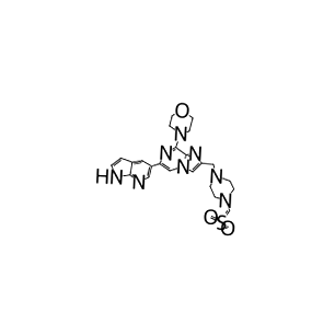 O=S(=O)=CN1CCN(Cc2cn3cc(-c4cnc5[nH]ccc5c4)nc(N4CCOCC4)c3n2)CC1